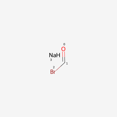 O=CBr.[NaH]